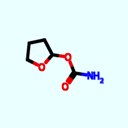 NC(=O)OC1CCCO1